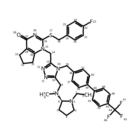 CCN1CCC[C@H]1N(C)Cc1nnc(Cn2c(SCc3ccc(F)cc3)nc(=O)c3c2CCC3)n1Cc1ccc(-c2ccc(C(F)(F)F)cc2)cc1